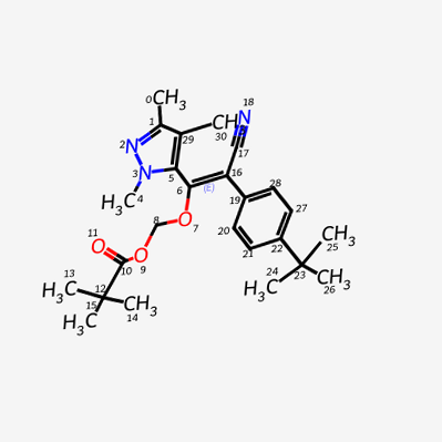 Cc1nn(C)c(/C(OCOC(=O)C(C)(C)C)=C(\C#N)c2ccc(C(C)(C)C)cc2)c1C